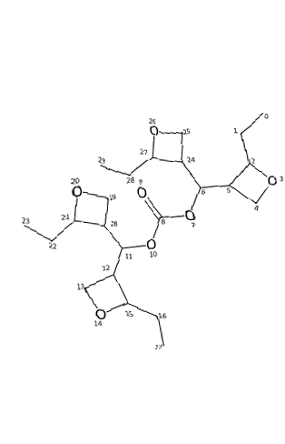 CCC1OCC1C(OC(=O)OC(C1COC1CC)C1COC1CC)C1COC1CC